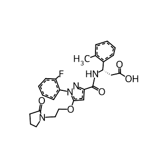 Cc1ccccc1[C@H](CC(=O)O)NC(=O)c1cc(OCCN2CCCC2=O)n(-c2ccccc2F)n1